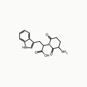 NC1CCC(=O)N(C(Cc2c[nH]c3ccccc23)C(=O)O)C1=O